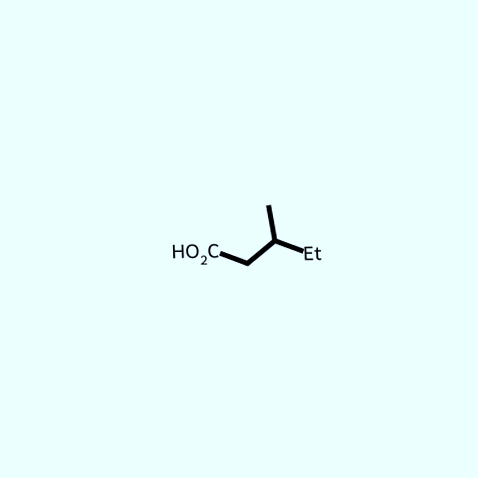 CCC(C)CC(=O)O